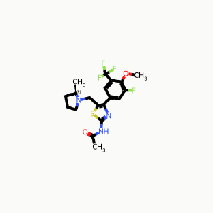 COc1c(F)cc(-c2nc(NC(C)=O)sc2CN2CCC[C@H]2C)cc1C(F)(F)F